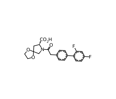 O=C(O)[C@@H]1CC2(CN1C(=O)Cc1ccc(-c3ccc(F)cc3F)cc1)OCCO2